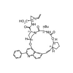 C=C[C@@H]1C[C@]1(NC(=O)[C@@H]1C[C@@H]2CN1C(=O)[C@H](CCCC)NC(=O)O[C@H]1CCC[C@@H]1C=Cc1ccc3nc(-c4ccccc4)cc(c3c1)O2)C(=O)O